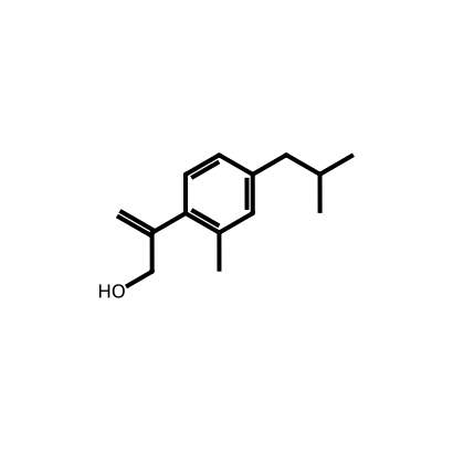 C=C(CO)c1ccc(CC(C)C)cc1C